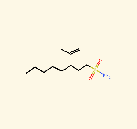 C=CC.CCCCCCCCS(N)(=O)=O